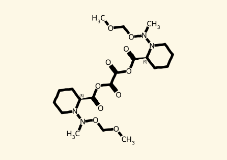 COCON(C)N1CCCC[C@H]1C(=O)OC(=O)C(=O)OC(=O)[C@@H]1CCCCN1N(C)OCOC